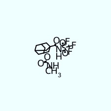 CNC(=O)OC12CC3CC(C1)CC(C(=O)NS(=O)(=O)C(F)(F)F)(C3)C2